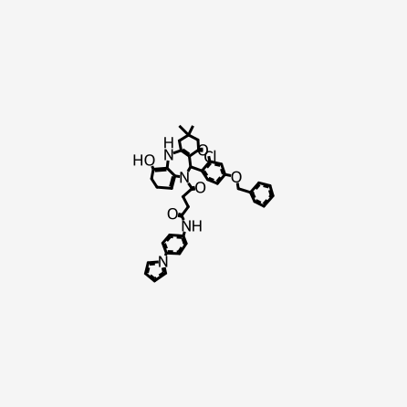 CC1(C)CC(=O)C2=C(C1)NC1=C(O)CCC=C1N(C(=O)CCC(=O)Nc1ccc(-n3cccc3)cc1)C2c1ccc(OCc2ccccc2)cc1Cl